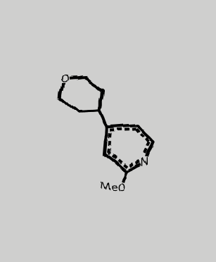 COc1cc(C2CCOCC2)ccn1